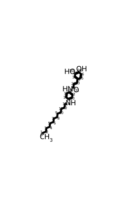 CCCCCCCCCCCCCCNc1ccc(NC(=O)/C=C/c2ccc(O)c(O)c2)cc1